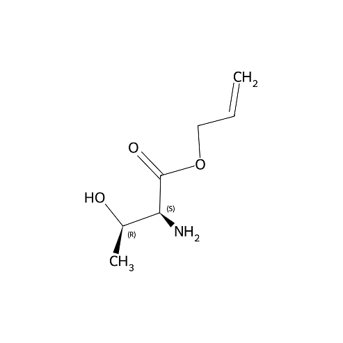 C=CCOC(=O)[C@@H](N)[C@@H](C)O